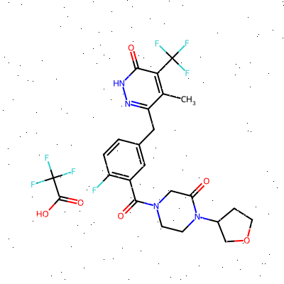 Cc1c(Cc2ccc(F)c(C(=O)N3CCN(C4CCOC4)C(=O)C3)c2)n[nH]c(=O)c1C(F)(F)F.O=C(O)C(F)(F)F